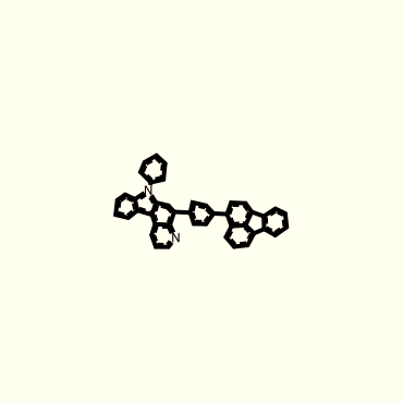 c1ccc(-n2c3ccccc3c3c4cccnc4c(-c4ccc(-c5ccc6c7c(cccc57)-c5ccccc5-6)cc4)cc32)cc1